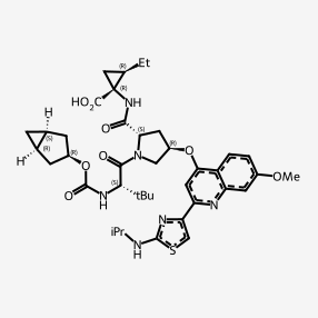 CC[C@@H]1C[C@]1(NC(=O)[C@@H]1C[C@@H](Oc2cc(-c3csc(NC(C)C)n3)nc3cc(OC)ccc23)CN1C(=O)[C@@H](NC(=O)O[C@@H]1C[C@@H]2C[C@@H]2C1)C(C)(C)C)C(=O)O